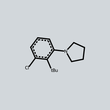 CC(C)(C)c1c(Cl)cccc1N1CCCC1